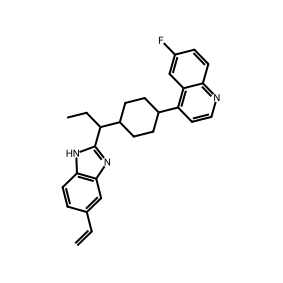 C=Cc1ccc2[nH]c(C(CC)C3CCC(c4ccnc5ccc(F)cc45)CC3)nc2c1